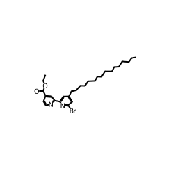 CCCCCCCCCCCCCCCCc1cc(Br)nc(-c2cc(C(=O)OCC)ccn2)c1